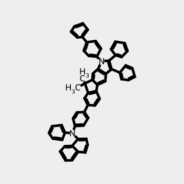 CC1(C)c2cc(-c3ccc(N(c4ccccc4)c4cccc5ccccc45)cc3)ccc2-c2cc3c(-c4ccccc4)c(-c4ccccc4)n(-c4ccc(-c5ccccc5)cc4)c3cc21